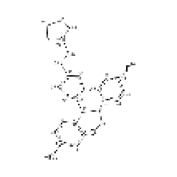 Oc1ccc2c(c1)OCC(c1ccc(F)cc1)C2c1ccc(CCN2CCCC2)cc1